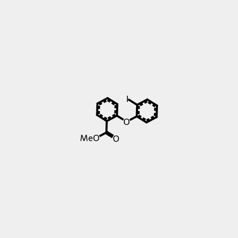 COC(=O)c1ccccc1Oc1ccccc1I